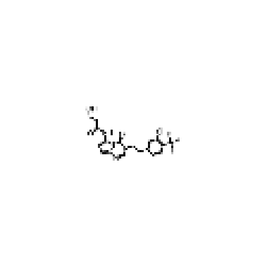 O=C(CCO)Nc1ccc2ncn(CCc3ccc(C(F)(F)F)c(Cl)c3)c(=O)n12